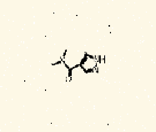 CN(C)C(=O)c1cn[nH]c1